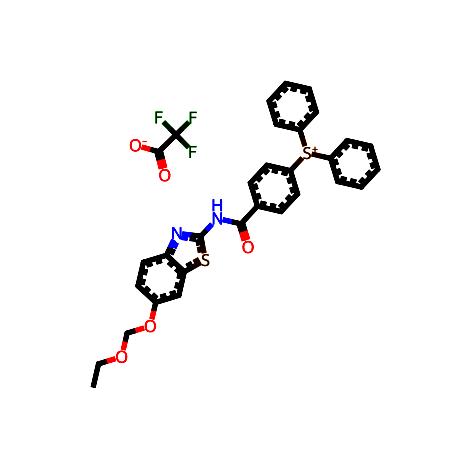 CCOCOc1ccc2nc(NC(=O)c3ccc([S+](c4ccccc4)c4ccccc4)cc3)sc2c1.O=C([O-])C(F)(F)F